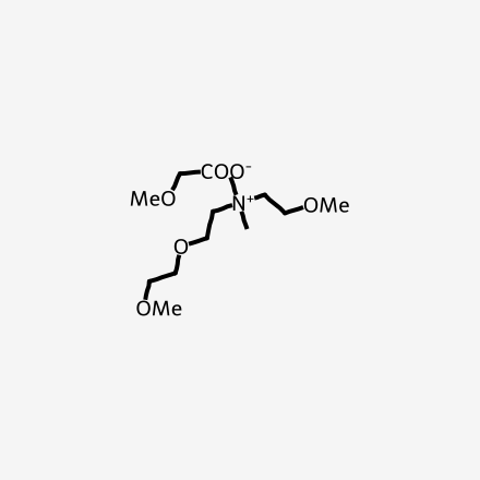 COCC(=O)[O-].COCCOCC[N+](C)(C)CCOC